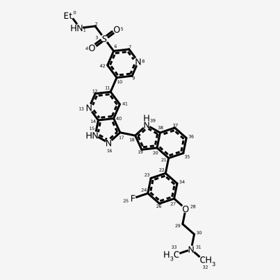 CCNCS(=O)(=O)c1cncc(-c2cnc3[nH]nc(-c4cc5c(-c6cc(F)cc(OCCN(C)C)c6)cccc5[nH]4)c3c2)c1